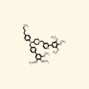 CCCCc1ccc(N(Cc2ccc(-c3cc(OC)c(OC)c(OC)c3)cc2)C2CCN(Cc3ccnc(-c4cc(OC)c(OC)c(OC)c4)c3)CC2)cc1